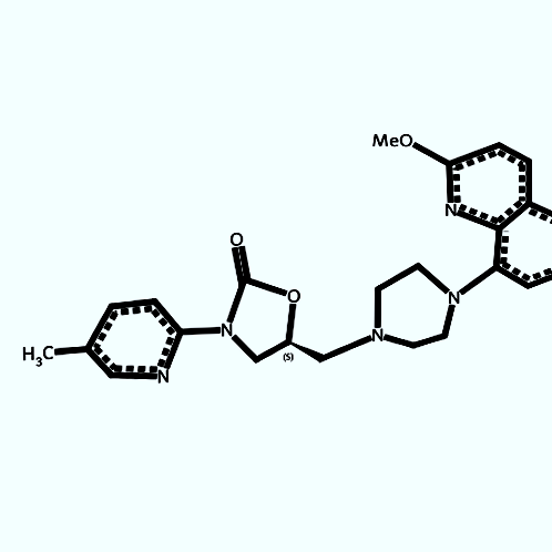 COc1ccc2nccc(N3CCN(C[C@H]4CN(c5ccc(C)cn5)C(=O)O4)CC3)c2n1